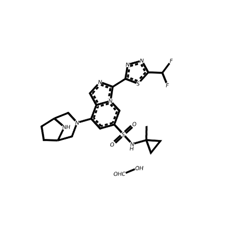 CC1(NS(=O)(=O)c2cc(N3CC4CCC(C3)N4)c3cnc(-c4nnc(C(F)F)s4)n3c2)CC1.O=CO